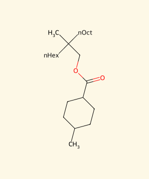 CCCCCCCCC(C)(CCCCCC)COC(=O)C1CCC(C)CC1